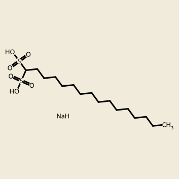 CCCCCCCCCCCCCCCC(S(=O)(=O)O)S(=O)(=O)O.[NaH]